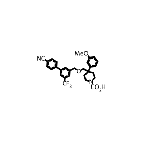 COc1cccc(C2(COCc3cc(-c4ccc(C#N)cc4)cc(C(F)(F)F)c3)CCN(C(=O)O)CC2)c1